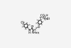 CCCCCCN(CCOc1ccc(CC(OCC)C(=O)O)cc1)C(=O)Nc1ccc(Cl)cc1